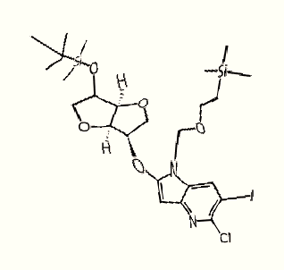 CC(C)(C)[Si](C)(C)OC1CO[C@H]2[C@@H]1OC[C@H]2Oc1cc2nc(Cl)c(I)cc2n1COCC[Si](C)(C)C